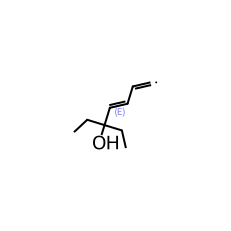 [CH]=C/C=C/C(O)(CC)CC